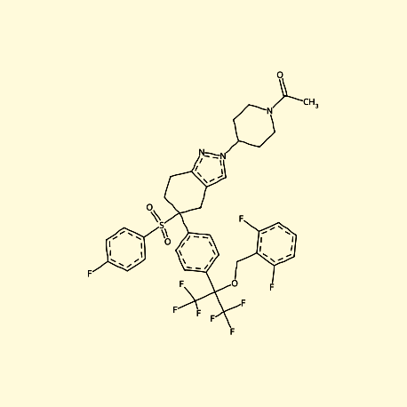 CC(=O)N1CCC(n2cc3c(n2)CCC(c2ccc(C(OCc4c(F)cccc4F)(C(F)(F)F)C(F)(F)F)cc2)(S(=O)(=O)c2ccc(F)cc2)C3)CC1